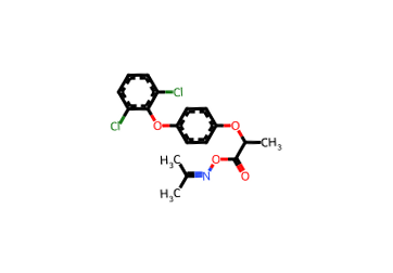 CC(C)=NOC(=O)C(C)Oc1ccc(Oc2c(Cl)cccc2Cl)cc1